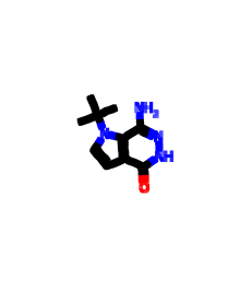 CC(C)(C)n1ccc2c(=O)[nH]nc(N)c21